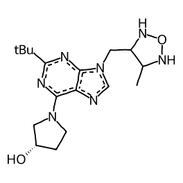 CC1NONC1Cn1cnc2c(N3CC[C@H](O)C3)nc(C(C)(C)C)nc21